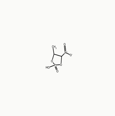 CC1OP(=O)(O)OC1[N+](=O)[O-]